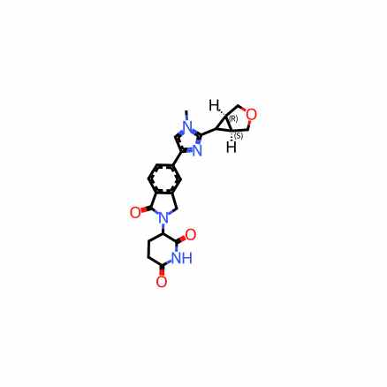 Cn1cc(-c2ccc3c(c2)CN(C2CCC(=O)NC2=O)C3=O)nc1C1[C@H]2COC[C@@H]12